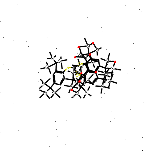 C[Si](C)(C)C(c1cc(C([Si](C)(C)C)([Si](C)(C)C)[Si](C)(C)C)c([S][Bi]([S]c2c(C([Si](C)(C)C)([Si](C)(C)C)[Si](C)(C)C)cc(C([Si](C)(C)C)([Si](C)(C)C)[Si](C)(C)C)cc2C([Si](C)(C)C)([Si](C)(C)C)[Si](C)(C)C)[S]c2c(C([Si](C)(C)C)([Si](C)(C)C)[Si](C)(C)C)cc(C([Si](C)(C)C)([Si](C)(C)C)[Si](C)(C)C)cc2C([Si](C)(C)C)([Si](C)(C)C)[Si](C)(C)C)c(C([Si](C)(C)C)([Si](C)(C)C)[Si](C)(C)C)c1)([Si](C)(C)C)[Si](C)(C)C